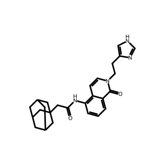 O=C(CC12CC3CC(CC(C3)C1)C2)Nc1cccc2c(=O)n(CCc3c[nH]cn3)ccc12